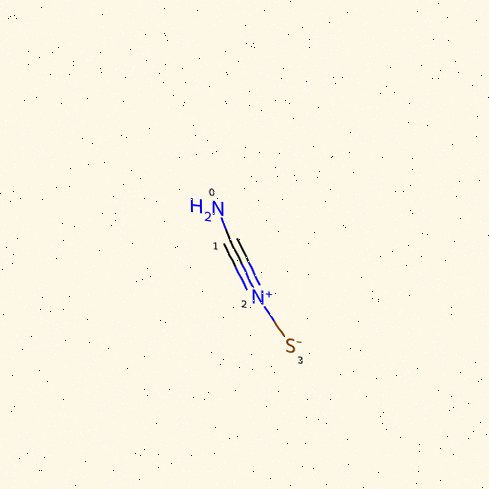 NC#[N+][S-]